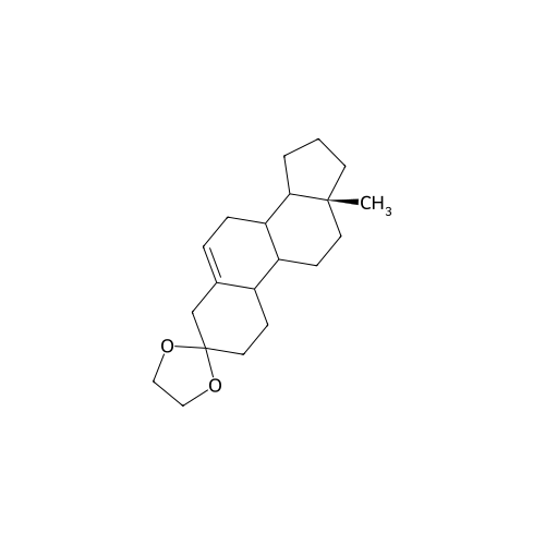 C[C@]12CCCC1C1CC=C3CC4(CCC3C1CC2)OCCO4